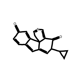 O=C1C=CC2=CC3=CC(C4CC4)C(=O)C4=CN=CCC34C2=C1